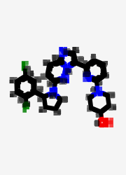 OC1CCN(c2cccc(-c3cnc4ccc(N5CCCC5c5cc(F)ccc5F)nn34)n2)CC1